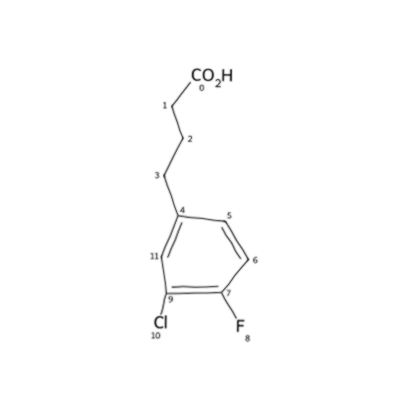 O=C(O)CCCc1ccc(F)c(Cl)c1